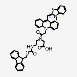 CN1/C(=C\C2=C3C=CC=CC3N(CC(=O)N(CCNC(=O)OCC3c4ccccc4-c4ccccc43)CC(=O)O)c3ccccc32)Sc2ccccc21